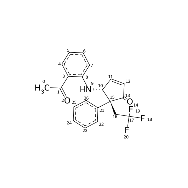 CC(=O)c1ccccc1N[C@@H]1C=CC(=O)[C@]1(CC(F)(F)F)c1ccccc1